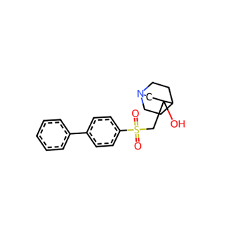 O=S(=O)(CC1(O)CN2CCC1CC2)c1ccc(-c2ccccc2)cc1